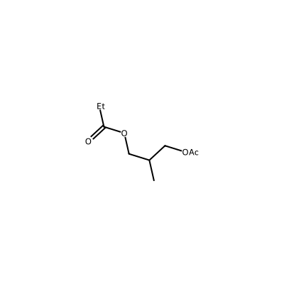 CCC(=O)OCC(C)COC(C)=O